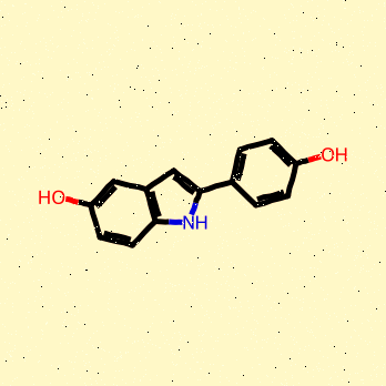 Oc1ccc(-c2cc3cc(O)ccc3[nH]2)cc1